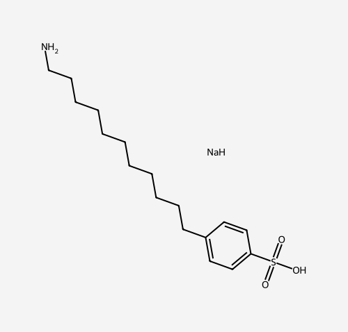 NCCCCCCCCCCCc1ccc(S(=O)(=O)O)cc1.[NaH]